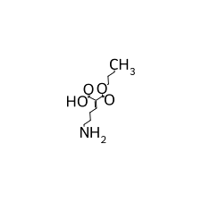 CCCCOC(=O)C(=CCCCN)C(=O)O